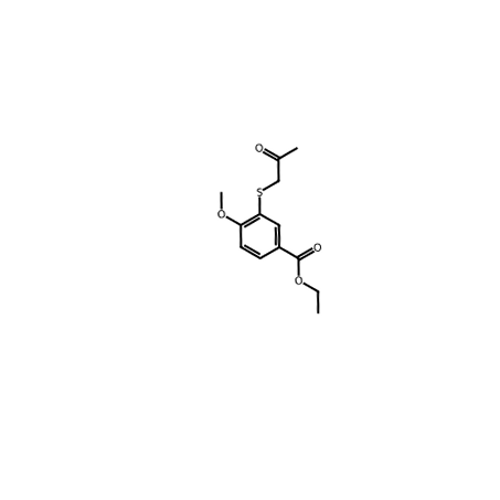 CCOC(=O)c1ccc(OC)c(SCC(C)=O)c1